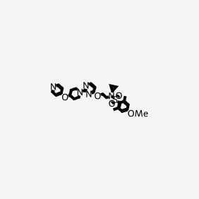 COc1cc(C)c(S(=O)(=O)N(CCOc2ccnc(N3CCC(Oc4ccncc4)CC3)n2)C2CC2)c(C)c1